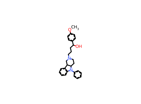 COc1ccc(C(O)CCCN2CCC3C(C2)c2ccccc2N3c2ccccc2)cc1